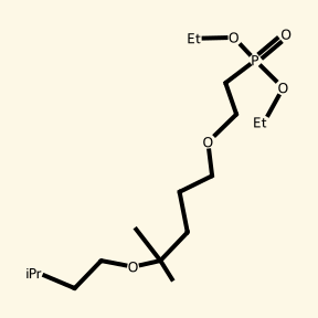 CCOP(=O)(CCOCCCC(C)(C)OCCC(C)C)OCC